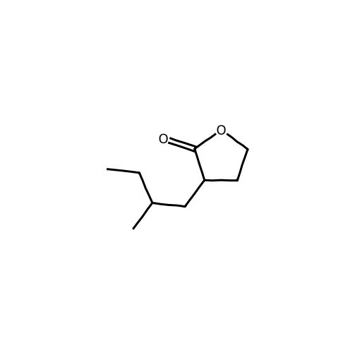 CCC(C)CC1CCOC1=O